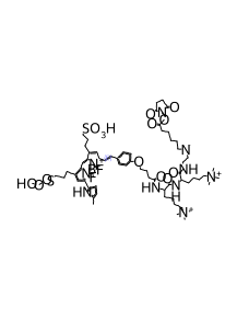 Cc1ccc(-c2cc(CCCSOOO)c3n2[B-](F)(F)[N+]2=C(/C=C/c4ccc(OCCCC(=O)NC(CCCC[N+](C)(C)C)C(=O)NC(CCCC[N+](C)(C)C)C(=O)NCCN(C)CCCCCC(=O)ON5C(=O)CCC5=O)cc4)C=C(CCCS(=O)(=O)O)C2=C3)[nH]1